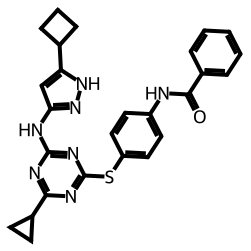 O=C(Nc1ccc(Sc2nc(Nc3cc(C4CCC4)[nH]n3)nc(C3CC3)n2)cc1)c1ccccc1